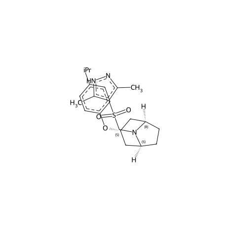 Cc1n[nH]c(C)c1S(=O)(=O)CN1[C@@H]2CC[C@H]1C[C@H](Oc1ccc(C(C)C)cc1)C2